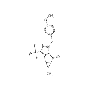 COc1ccc(Cn2nc(C(F)(F)F)c3c2C(=O)C2C(C)C32)cc1